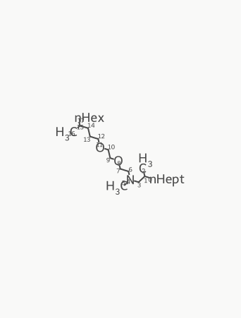 CCCCCCCC(C)CN(C)CCOCCOCCCC(C)CCCCCC